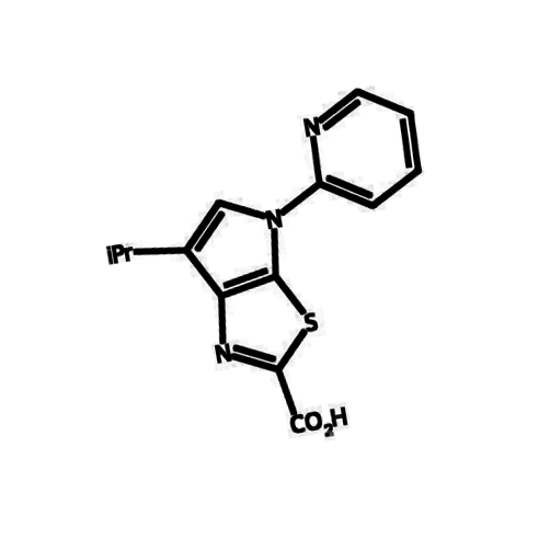 CC(C)c1cn(-c2ccccn2)c2sc(C(=O)O)nc12